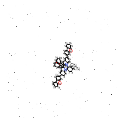 N#Cc1ccc(-n2c3ccc(-c4ccc5c(c4)oc4ccccc45)cc3c3c4ccccc4ccc32)c(-n2c3ccc(-c4ccc5c(c4)oc4ccccc45)cc3c3c4ccccc4ccc32)c1C#N